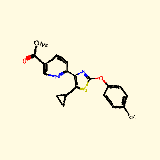 COC(=O)c1ccc(-c2nc(Oc3ccc(C(F)(F)F)cc3)sc2C2CC2)nc1